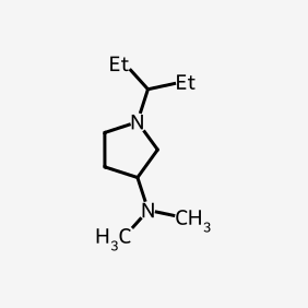 CCC(CC)N1CCC(N(C)C)C1